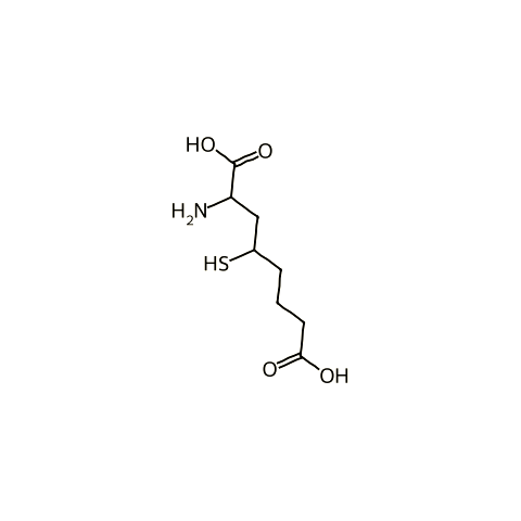 NC(CC(S)CCCC(=O)O)C(=O)O